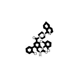 O=C(c1cc(-c2ccccc2Cl)c2c(c1)N(c1c(Cl)cccc1Cl)C(=O)NC2)N1CCN(c2nccc3ccccc23)CC1